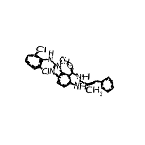 CC(=Cc1ccccc1)C1NC(=O)c2c(ccc3nc(Nc4c(Cl)cccc4Cl)n(C)c23)N1